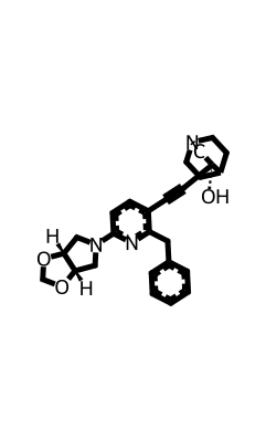 O[C@]1(C#Cc2ccc(N3C[C@@H]4OCO[C@@H]4C3)nc2Cc2ccccc2)CN2CCC1CC2